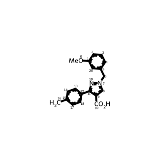 COc1cccc(Cn2cc(C(=O)O)c(-c3ccc(C)cc3)n2)c1